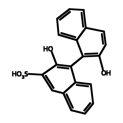 O=S(=O)(O)c1cc2ccccc2c(-c2c(O)ccc3ccccc23)c1O